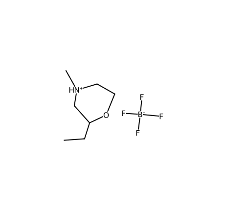 CCC1C[NH+](C)CCO1.F[B-](F)(F)F